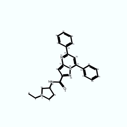 CCN1CCC(NC(=O)c2cc3nc(-c4ccccc4)cc(-c4ccccc4)n3n2)C1